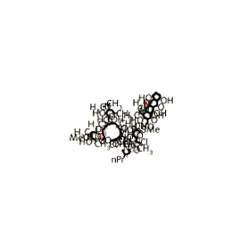 CCC[C@@H]1C[C@@H](C(=O)N[C@@H]([C@H]2O[C@H](SC)[C@H](O)[C@@H](O)[C@H]2O)[C@H](C)Cl)N(C)C1.CC[C@H]1OC(=O)[C@H](C)[C@@H](O[C@H]2C[C@@](C)(OC)[C@@H](O)[C@H](C)O2)[C@H](C)[C@@H](O[C@@H]2O[C@H](C)C[C@H](N(C)C)[C@H]2O)[C@](C)(O)C[C@@H](C)C(=O)[C@H](C)[C@@H](O)[C@]1(C)O.CN(C)[C@@H]1C(O)=C(C(N)=O)C(=O)[C@@]2(O)C(O)=C3C(=O)c4c(O)cccc4[C@@](C)(O)[C@H]3C[C@@H]12